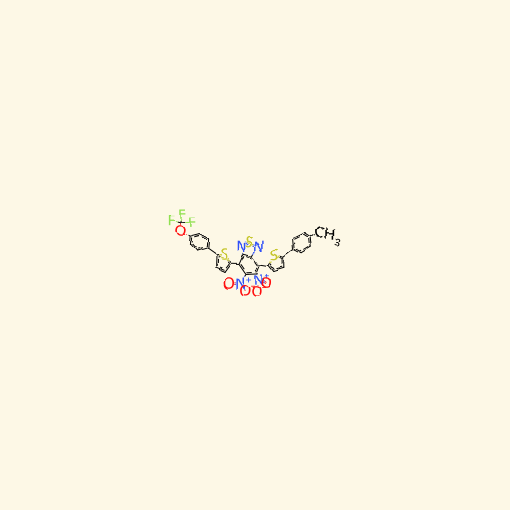 Cc1ccc(-c2ccc(-c3c4c(c(-c5ccc(-c6ccc(OC(F)(F)F)cc6)s5)c([N+](=O)[O-])c3[N+](=O)[O-])N=S=N4)s2)cc1